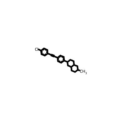 CC1CCC2CC(c3ccc(C#Cc4ccc(Cl)cc4)cc3)CCC2C1